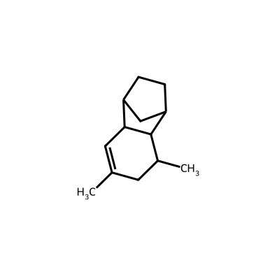 CC1=CC2C3CCC(C3)C2C(C)C1